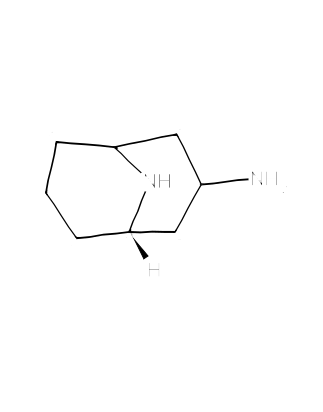 NC1CC2CCC[C@@H](C1)N2